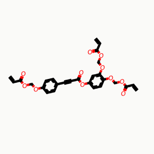 C=CC(=O)OCOc1ccc(C#CC(=O)Oc2ccc(OCOC(=O)C=C)c(OCOC(=O)C=C)c2)cc1